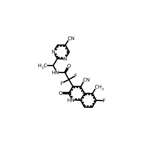 Cc1c(F)ccc2[nH]c(=O)c(C(F)(F)C(=O)NC(C)c3ncc(C#N)cn3)c(C#N)c12